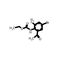 CCOC(=O)Nc1c(C)cc(Br)cc1C(C)=O